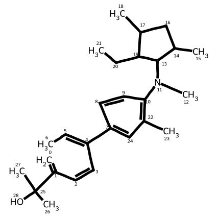 C=C(/C=C\C(=C/C)c1ccc(N(C)C2C(C)CC(C)C2CC)c(C)c1)C(C)(C)O